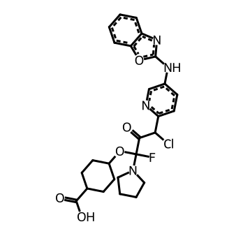 O=C(O)C1CCC(OC(F)(C(=O)C(Cl)c2ccc(Nc3nc4ccccc4o3)cn2)N2CCCC2)CC1